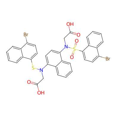 O=C(O)CN(Sc1ccc(Br)c2ccccc12)c1ccc(N(CC(=O)O)S(=O)(=O)c2ccc(Br)c3ccccc23)c2ccccc12